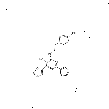 N#Cc1c(NCCc2ccc(O)cc2)nc(-c2ccco2)nc1-c1ccco1